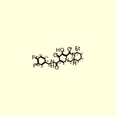 CC[C@@H]1CCC[C@@H]2Cn3cc(C(=O)NCc4ccc(F)c(F)c4)c(=O)c(O)c3C(=O)N12